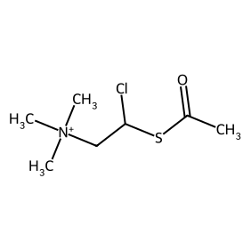 CC(=O)SC(Cl)C[N+](C)(C)C